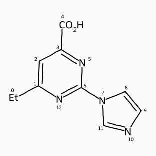 CCc1cc(C(=O)O)nc(-n2ccnc2)n1